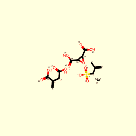 C=C(C)CS(=O)(=O)[O-].C=C(CC(=O)O)C(=O)O.O=C(O)C1OC1C(=O)O.[Na+]